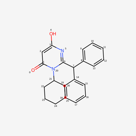 O=c1cc(O)nc(C(c2ccccc2)c2ccccc2)n1C1CCCCC1